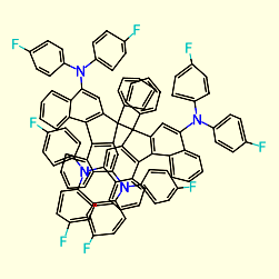 Fc1ccc(N(c2ccc(F)cc2)c2cc3c(c4ccccc24)-c2c(cc(N(c4ccc(F)cc4)c4ccc(F)cc4)c4ccccc24)C3(c2ccccc2)C2(c3ccccc3)c3cc(N(c4ccc(F)cc4)c4ccc(F)cc4)c4ccccc4c3-c3c2cc(N(c2ccc(F)cc2)c2ccc(F)cc2)c2ccccc32)cc1